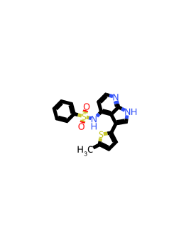 Cc1ccc(-c2c[nH]c3nccc(NS(=O)(=O)c4ccccc4)c23)s1